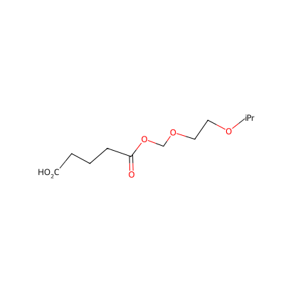 CC(C)OCCOCOC(=O)CCCC(=O)O